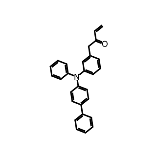 C=CC(=O)Cc1cccc(N(c2ccccc2)c2ccc(-c3ccccc3)cc2)c1